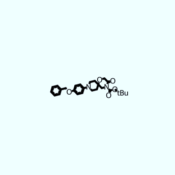 CC(C)(C)OC(=O)N1CC2(CCN(c3ccc(OCc4ccccc4)cc3)CC2)OCC1=O